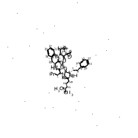 CC(C)CC(NC(=O)[C@H](CCc1ccccc1)NC(=O)CCCN(C)C)C(=O)N[C@@H](Cc1ccccc1)C(=O)NC(CC(C)C)C(=O)[C@@]1(C)CO1